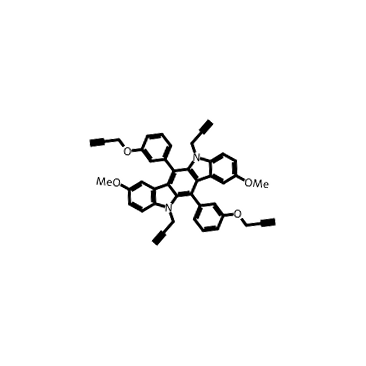 C#CCOc1cccc(-c2c3c4cc(OC)ccc4n(CC#C)c3c(-c3cccc(OCC#C)c3)c3c4cc(OC)ccc4n(CC#C)c23)c1